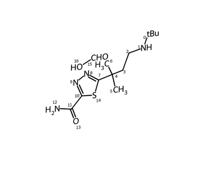 CC(C)(C)NCCC(C)(C)c1nnc(C(N)=O)s1.O=CO